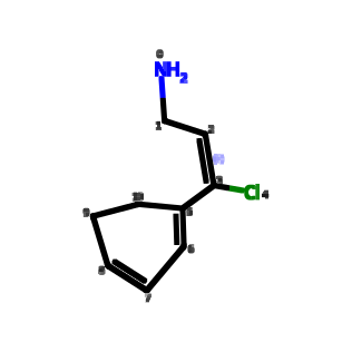 NC/C=C(/Cl)C1=CC=CCC1